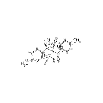 Cc1ccc(C(=O)C(C(=O)c2ccc(C)cc2)(C(F)(F)F)P(=O)(O)O)cc1